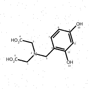 O=C(O)CN(CC(=O)O)Cc1ccc(O)cc1O